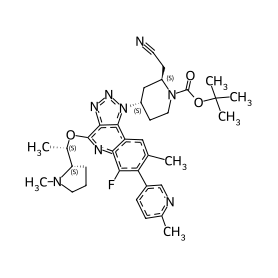 Cc1ccc(-c2c(C)cc3c(nc(O[C@@H](C)[C@@H]4CCCN4C)c4nnn([C@H]5CCN(C(=O)OC(C)(C)C)[C@H](CC#N)C5)c43)c2F)cn1